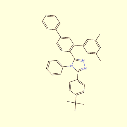 Cc1cc(C)cc(-c2cc(-c3ccccc3)ccc2-c2nnc(-c3ccc(C(C)(C)C)cc3)n2-c2ccccc2)c1